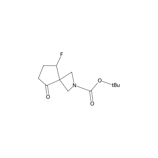 CC(C)(C)OC(=O)N1CC2(C1)C(=O)CCC2F